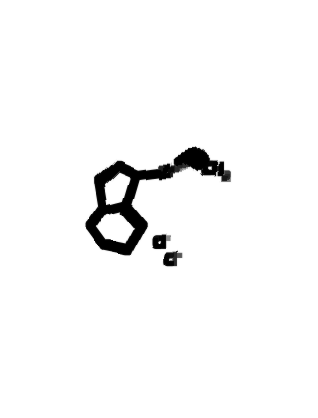 C=[CH][Zr+2][CH]1CCC2CC=CC=C21.[Cl-].[Cl-]